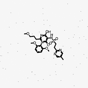 COCCCc1nc(O)c(NS(=O)(=O)CCc2ncc(C)cn2)c(=O)n1-c1c(OC)cccc1OC